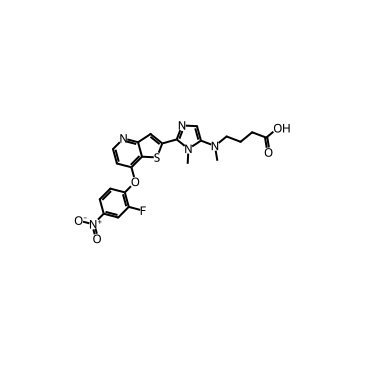 CN(CCCC(=O)O)c1cnc(-c2cc3nccc(Oc4ccc([N+](=O)[O-])cc4F)c3s2)n1C